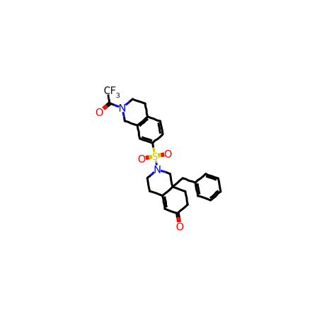 O=C1C=C2CCN(S(=O)(=O)c3ccc4c(c3)CN(C(=O)C(F)(F)F)CC4)CC2(Cc2ccccc2)CC1